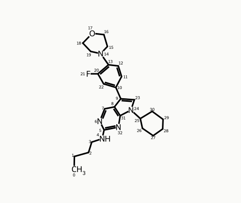 CCCCNc1ncc2c(-c3ccc(N4CCOCC4)c(F)c3)cn(C3CCCCC3)c2n1